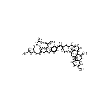 CC(CCC(=O)Nc1ccc(CC(CN2CCN(CC(=O)O)CCN(CC(=O)O)CC2)NCC(=O)O)cc1)[C@H]1CCC2C3C(C[C@H](O)[C@@]21C)[C@@]1(C)CC[C@@H](O)CC1C[C@H]3O